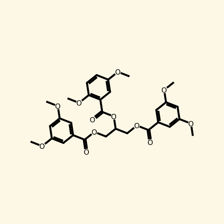 COc1cc(OC)cc(C(=O)OCC(COC(=O)c2cc(OC)cc(OC)c2)OC(=O)c2cc(OC)ccc2OC)c1